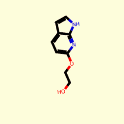 OCCOc1ccc2[c]c[nH]c2n1